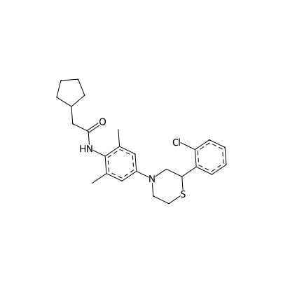 Cc1cc(N2CCSC(c3ccccc3Cl)C2)cc(C)c1NC(=O)CC1CCCC1